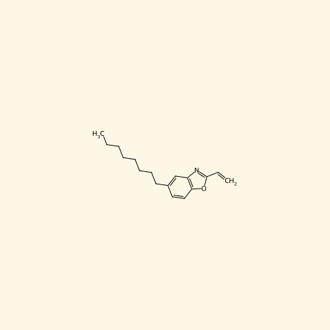 C=Cc1nc2cc(CCCCCCCC)ccc2o1